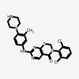 Cc1cc(Nc2ncc3c(n2)SCN(c2c(Cl)cccc2Cl)C3=O)ccc1N1CCNCC1